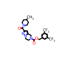 CC1CCN(C(=O)c2cc3n(n2)CCN(C(=O)OCc2cc(C(F)(F)F)cc(C(F)(F)F)c2)C3)CC1